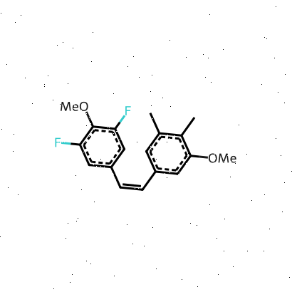 COc1cc(/C=C\c2cc(F)c(OC)c(F)c2)cc(C)c1C